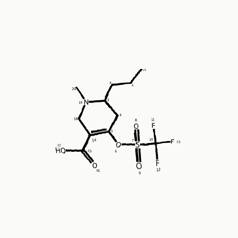 CCCC1CC(OS(=O)(=O)C(F)(F)F)=C(C(=O)O)CN1C